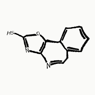 Sc1nc2ncc3ccccc3c2o1